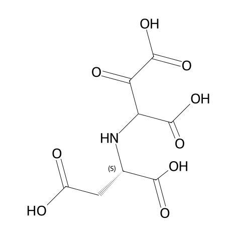 O=C(O)C[C@H](NC(C(=O)O)C(=O)C(=O)O)C(=O)O